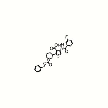 O=C(Nc1csc(C2CCCN(C(=O)OCc3ccccc3)C2)c1C(=O)O)c1cccc(F)c1